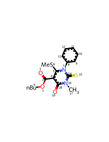 CCCCOC(=O)c1c(SC)n(-c2ccccc2)c(=S)n(C)c1=O